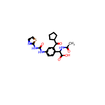 CC(=O)NC(C(=O)O)c1ccc(NC(=O)Nc2nccs2)cc1C(=O)C1CCCC1